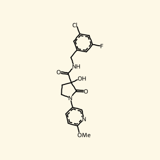 COc1ccc(N2CCC(O)(C(=O)NCc3cc(F)cc(Cl)c3)C2=O)cn1